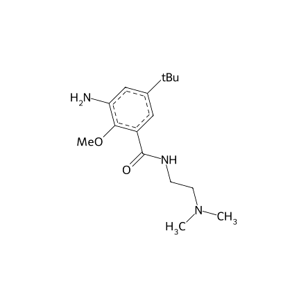 COc1c(N)cc(C(C)(C)C)cc1C(=O)NCCN(C)C